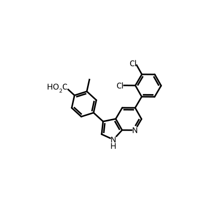 Cc1cc(-c2c[nH]c3ncc(-c4cccc(Cl)c4Cl)cc23)ccc1C(=O)O